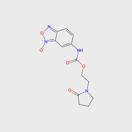 O=C(Nc1ccc2no[n+]([O-])c2c1)OCCN1CCCC1=O